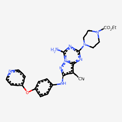 CCOC(=O)N1CCN(c2nc(N)n3nc(Nc4ccc(Oc5ccncc5)cc4)c(C#N)c3n2)CC1